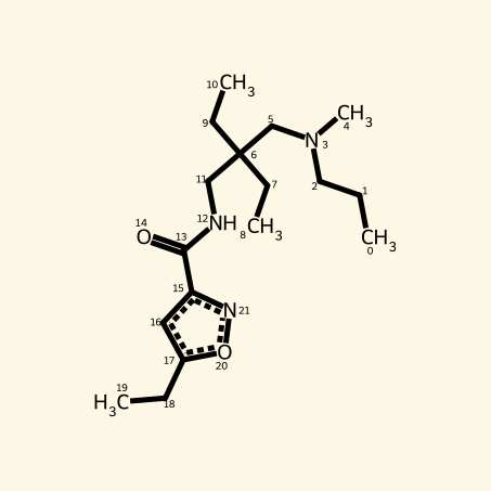 CCCN(C)CC(CC)(CC)CNC(=O)c1cc(CC)on1